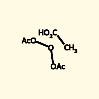 CC(=O)O.CC(=O)OOOC(C)=O